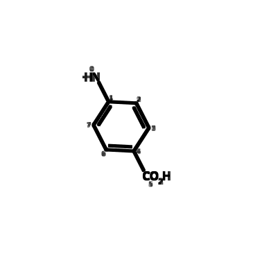 [NH]c1ccc(C(=O)O)cc1